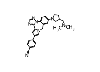 CN(C)CC1CCN(c2ccc3c(c2)Cn2cc(-c4ccc(C#N)cc4)cc2-c2ncnn2-3)C1